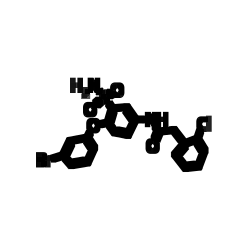 NS(=O)(=O)c1cc(NC(=O)Cc2ccccc2Cl)ccc1Oc1cccc(Br)c1